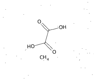 C.O=C(O)C(=O)O